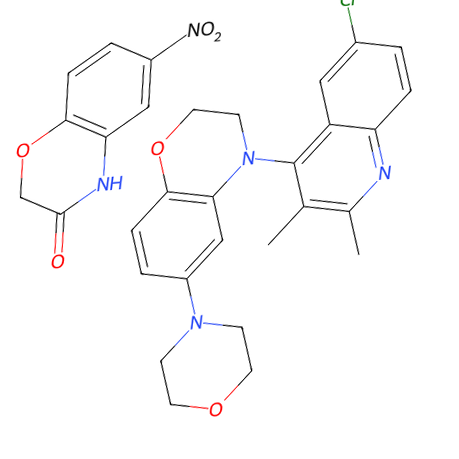 Cc1nc2ccc(Cl)cc2c(N2CCOc3ccc(N4CCOCC4)cc32)c1C.O=C1COc2ccc([N+](=O)[O-])cc2N1